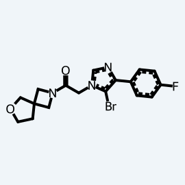 O=C(Cn1cnc(-c2ccc(F)cc2)c1Br)N1CC2(CCOC2)C1